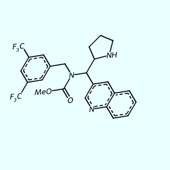 COC(=O)N(Cc1cc(C(F)(F)F)cc(C(F)(F)F)c1)C(c1cnc2ccccc2c1)C1CCCN1